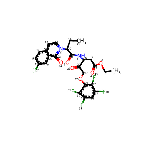 CCOC(=O)C[C@H](NC(=O)C(CC)n1ccc2ccc(Cl)cc2c1=O)C(=O)COc1c(F)c(F)cc(F)c1F